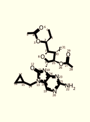 CC[C@H](OC(C)=O)[C@H]1O[C@@H](n2c(=O)n(CC3CC3)c3cnc(N)nc32)[C@H](OC(C)=O)[C@H]1F